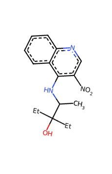 CCC(O)(CC)C(C)Nc1c([N+](=O)[O-])cnc2ccccc12